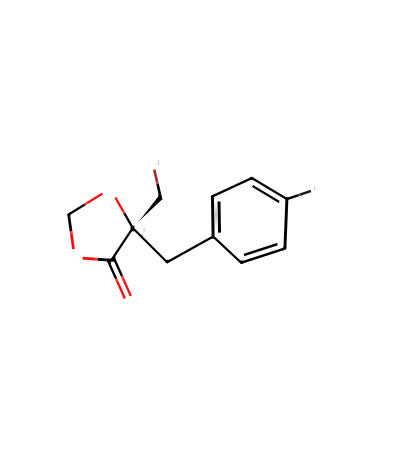 O=C1OCO[C@]1(CBr)Cc1ccc(C(F)(F)F)cc1